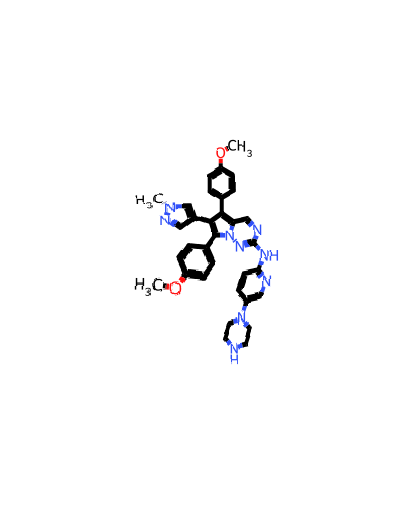 COc1ccc(-c2c(-c3cnn(C)c3)c(-c3ccc(OC)cc3)n3nc(Nc4ccc(N5CCNCC5)cn4)ncc23)cc1